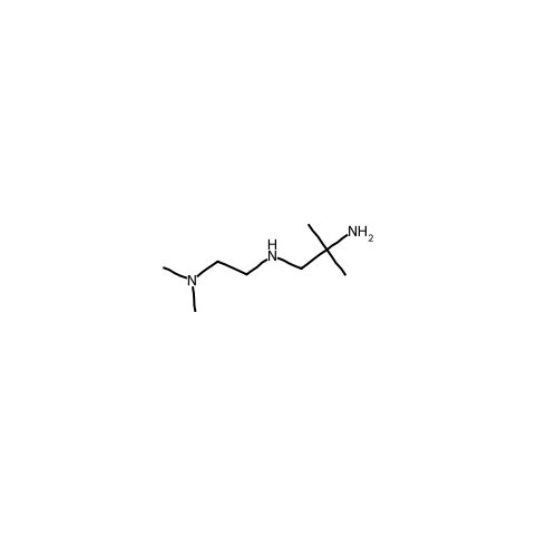 CN(C)CCNCC(C)(C)N